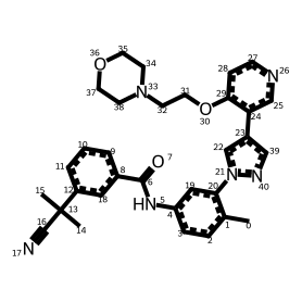 Cc1ccc(NC(=O)c2cccc(C(C)(C)C#N)c2)cc1-n1cc(-c2cnccc2OCCN2CCOCC2)cn1